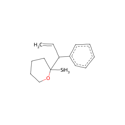 C=C[C](c1ccccc1)C1([SiH3])CCCCO1